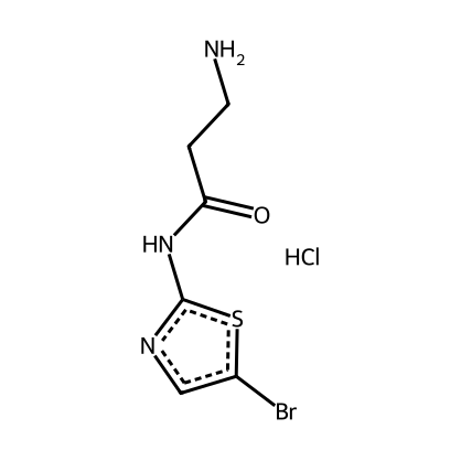 Cl.NCCC(=O)Nc1ncc(Br)s1